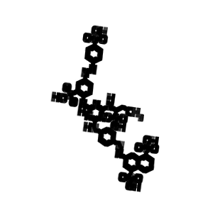 CCC(Nc1nc(Nc2ccc(N=Nc3cc(S(=O)(=O)O)c4cccc(S(=O)(=O)O)c4c3)cc2)nc(Nc2ccc(N=Nc3ccc(S(=O)(=O)O)cc3)cc2S(=O)(=O)O)n1)S(=O)(=O)O